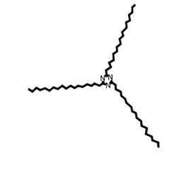 CCCCCCCCCCCCCCCCCCc1nc(CCCCCCCCCCCCCCCCCC)nc(CCCCCCCCCCCCCCCCCC)n1